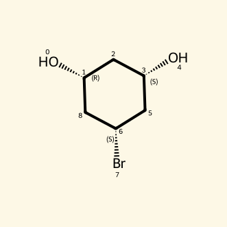 O[C@@H]1C[C@H](O)C[C@H](Br)C1